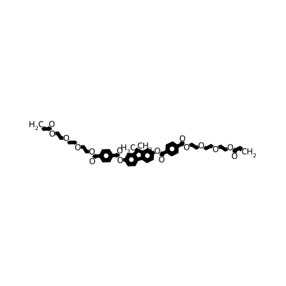 C=CC(=O)OCCOCCOCCOC(=O)c1ccc(C(=O)Oc2ccc3c(c2)C(C)(C)c2cc(OC(=O)c4ccc(C(=O)OCCOCCOCCOC(=O)C=C)cc4)ccc2-3)cc1